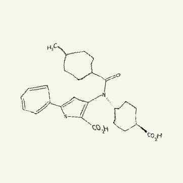 CC1CCC(C(=O)N(c2cc(-c3ccccc3)sc2C(=O)O)[C@H]2CC[C@H](C(=O)O)CC2)CC1